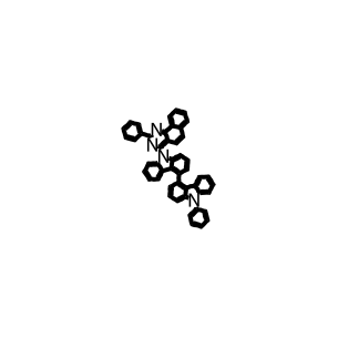 c1ccc(-c2nc(-n3c4ccccc4c4c(-c5cccc6c5c5ccccc5n6-c5ccccc5)cccc43)c3ccc4ccccc4c3n2)cc1